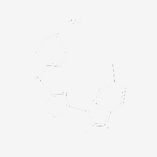 COc1ccc(Nc2nc(-c3c(C)nc4ccc(C)cn34)cs2)cc1